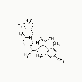 CCC(CC)CN1c2c(c(C)nc3c(-c4c(C)cc(C)cc4C)c(C)nn23)CCC1C